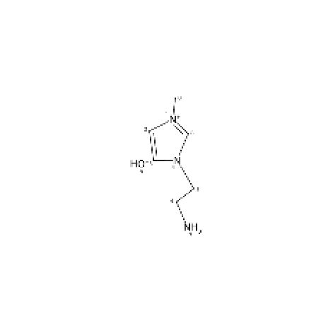 C[n+]1ccn(CCN)c1.[OH-]